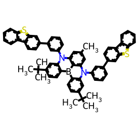 Cc1cc2c3c(c1)N(c1cccc(-c4ccc5c(c4)sc4ccccc45)c1)c1cc(C(C)(C)C)ccc1B3c1ccc(C(C)(C)C)cc1N2c1cccc(-c2ccc3c(c2)sc2ccccc23)c1